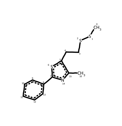 CSSCCc1sc(-c2ccccc2)nc1C